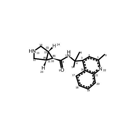 Cc1cc(C(C)(C)NC(=O)[C@H]2[C@@H]3CNC[C@@H]32)c2ccccc2n1